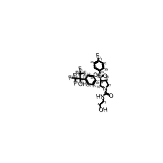 O=C(NCCO)N1CC[C@](c2ccc(C(O)(C(F)(F)F)C(F)(F)F)cc2)(S(=O)(=O)c2ccc(F)cc2)C1